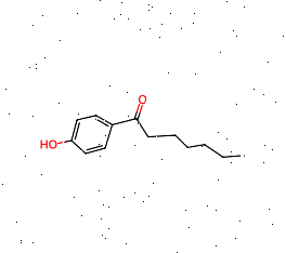 [CH2]CCCCCC(=O)c1ccc(O)cc1